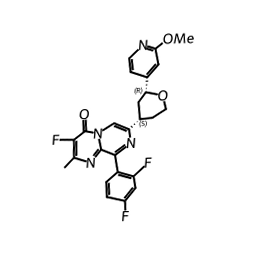 COc1cc([C@H]2C[C@@H](c3cn4c(=O)c(F)c(C)nc4c(-c4ccc(F)cc4F)n3)CCO2)ccn1